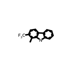 Cc1c(C(F)(F)F)ccc2c1[N]c1ccccc1-2